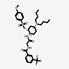 CCCCN(CCCC)[C@@H]1CC[C@H](NC(=O)CNC(=O)c2cccc(C(F)(F)F)c2)[C@H](CS(=O)(=O)c2ccc(SC)cc2)C1